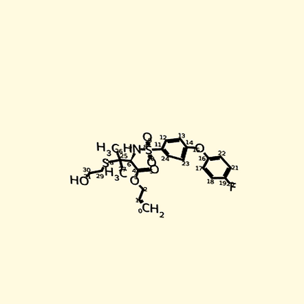 C=CCOC(=O)[C@H](NS(=O)(=O)c1ccc(Oc2ccc(F)cc2)cc1)C(C)(C)SCCO